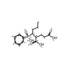 CCCC(C(CCC(=O)O)C(=O)O)P(=O)(O)c1ccccc1